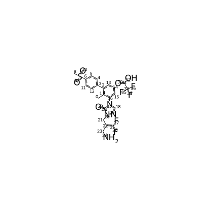 Cc1c(-c2ccc(S(C)(=O)=O)cc2)cccc1-n1cnn(CC(CN)=C(F)F)c1=O.O=C(O)C(F)(F)F